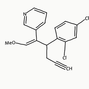 C#CCC(/C(=C/OC)c1cccnc1)c1ccc(Cl)cc1Cl